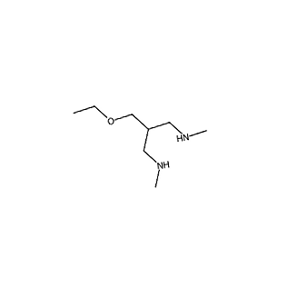 CCOCC(CNC)CNC